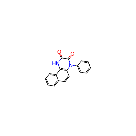 O=c1[nH]c2c3ccccc3ccc2n(-c2ccccc2)c1=O